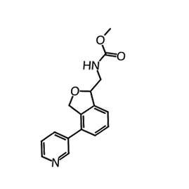 COC(=O)NCC1OCc2c(-c3cccnc3)cccc21